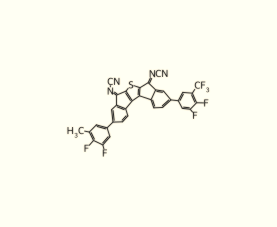 Cc1cc(-c2ccc3c(c2)/c(=N/C#N)c2sc4/c(=N/C#N)c5cc(-c6cc(F)c(F)c(C(F)(F)F)c6)ccc5c4c23)cc(F)c1F